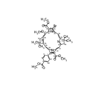 COC(=O)c1ccc(-c2c(C(=O)OC)c3cc4nc(cc5[nH]c(c(OC)c6nc(cc2[nH]3)C(C)(C)C6)c(C(=O)OC)c5Br)C(C)(C)C4)cc1